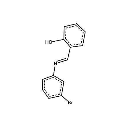 Oc1ccccc1C=Nc1cccc(Br)c1